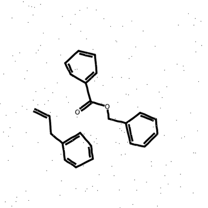 C=CCc1ccccc1.O=C(OCc1ccccc1)c1ccccc1